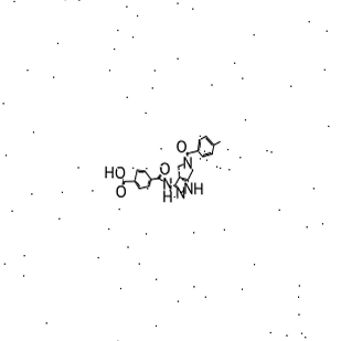 Cc1ccc(C(=O)N2Cc3[nH]nc(NC(=O)c4ccc(C(=O)O)cc4)c3C2)cc1